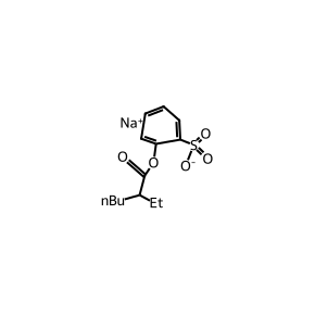 CCCCC(CC)C(=O)Oc1ccccc1S(=O)(=O)[O-].[Na+]